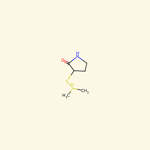 C[SH](C)SC1CCNC1=O